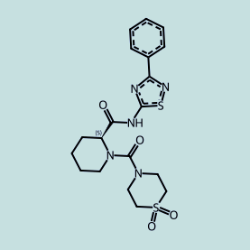 O=C(Nc1nc(-c2ccccc2)ns1)[C@@H]1CCCCN1C(=O)N1CCS(=O)(=O)CC1